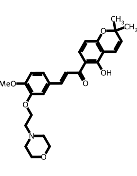 COc1ccc(/C=C/C(=O)c2ccc3c(c2O)C=CC(C)(C)O3)cc1OCCN1CCOCC1